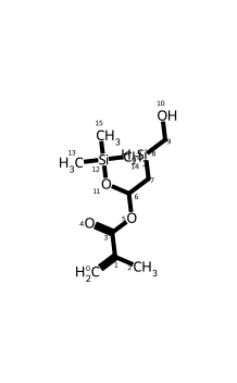 C=C(C)C(=O)OC(C[SiH2]CO)O[Si](C)(C)C